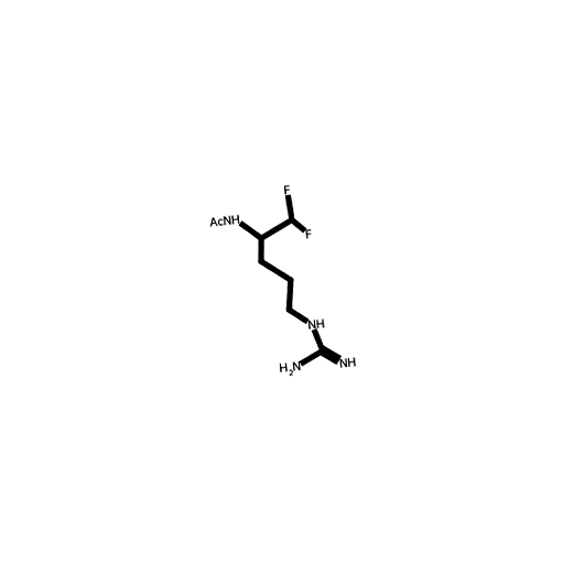 CC(=O)NC(CCCNC(=N)N)C(F)F